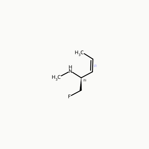 C/C=C\[C@@H](CF)NC